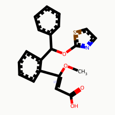 CO/C(=C\C(=O)O)c1ccccc1C(Oc1nccs1)c1ccccc1